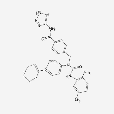 O=C(Nc1nn[nH]n1)c1ccc(CN(C(=O)Nc2cc(C(F)(F)F)ccc2C(F)(F)F)c2ccc(C3=CCCCC3)cc2)cc1